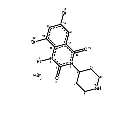 Br.CCn1c(=O)n(C2CCNCC2)c(=O)c2cc(Br)cc(Br)c21